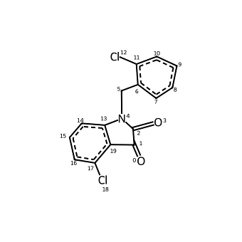 O=C1C(=O)N(Cc2ccccc2Cl)c2cccc(Cl)c21